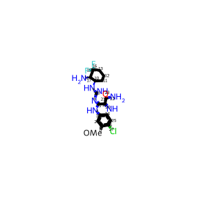 COc1cc(N/C(=N/C(=N)N[C@@H]2CCCC(F)(F)[C@@H]2N)C(=N)C(N)=O)ccc1Cl